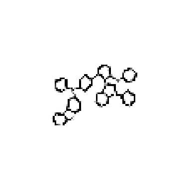 c1ccc(N(c2ccc(-c3cccc4c3c3c5ccccc5n(-c5ccccc5)c3n4-c3ccccc3)cc2)c2ccc3sc4ccccc4c3c2)cc1